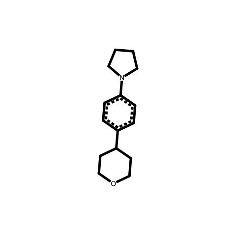 c1cc(N2CCCC2)ccc1C1CCOCC1